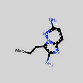 COCCc1c(N)nc2ccc(N)nn12